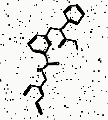 C=C/C=C(\C=C)CNC(=O)c1cccc(CN(C(=O)CC)c2ccccc2)c1